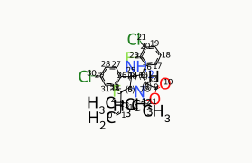 C=CC(C)(C)C[C@@H]1N2[C@@H](C(=O)OC2(C)C)[C@H](c2cccc(Cl)c2F)[C@@]1(N)c1ccc(Cl)cc1F